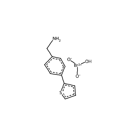 NCc1ccc(-c2cccs2)cc1.[O-][Br+2]([O-])O